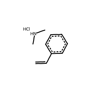 C=Cc1ccccc1.CNC.Cl